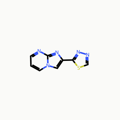 c1cnc2nc(-c3nncs3)cn2c1